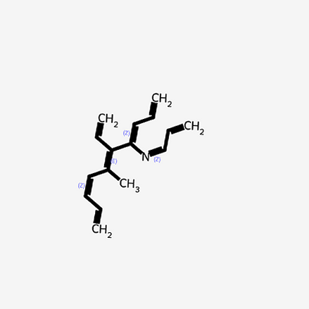 C=C\C=C/C(C)=C(C=C)/C(=C/C=C)/N=C\C=C